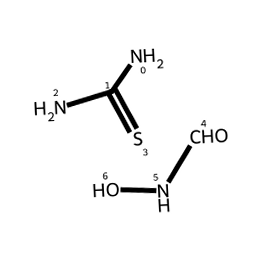 NC(N)=S.O=CNO